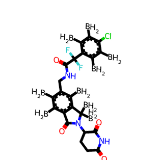 Bc1c(B)c(C(F)(F)C(=O)NCc2c(B)c(B)c3c(c2B)C(B)(B)N(C2CCC(=O)NC2=O)C3=O)c(B)c(B)c1Cl